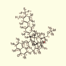 [2H]c1c([2H])c(F)c(F)c(C([2H])([2H])Sc2c([2H])c(=O)c3c([2H])c([2H])c([2H])c([2H])c3n2CC(=O)N(C([2H])([2H])c2c([2H])c([2H])c(-c3c([2H])c([2H])c(C(F)(F)F)c(C)c3[2H])c([2H])c2[2H])C2([2H])C([2H])([2H])C([2H])([2H])N(C([2H])([2H])COC([2H])([2H])[2H])C([2H])([2H])C2([2H])[2H])c1[2H]